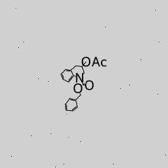 CC(=O)OC1Cc2ccccc2N(C(=O)OCc2ccccc2)C1